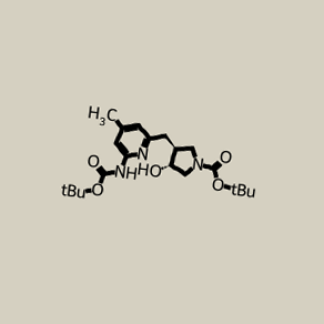 Cc1cc(C[C@H]2CN(C(=O)OC(C)(C)C)C[C@@H]2O)nc(NC(=O)OC(C)(C)C)c1